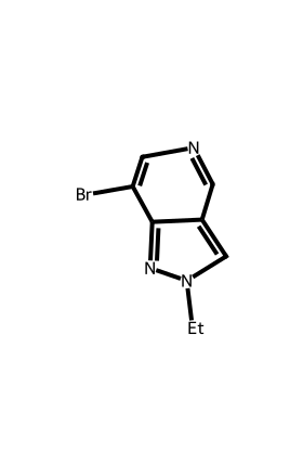 CCn1cc2cncc(Br)c2n1